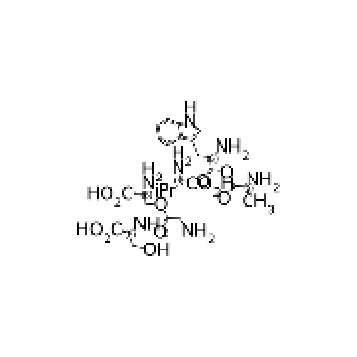 CC(C)[C@H](N)C(=O)O.C[C@H](N)C(=O)OC(=O)[C@@H](N)Cc1c[nH]c2ccccc12.NCC(=O)OC[C@H](N)C(=O)O.N[C@@H](CO)C(=O)O